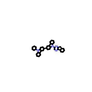 c1ccc(-n2c3ccccc3c3cc(-c4ccc5c(c4)c4ccccc4n5-c4cnc5c(n4)Cc4ccccc4-5)ccc32)cc1